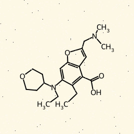 CCc1c(N(CC)C2CCOCC2)cc2oc(CN(C)C)cc2c1C(=O)O